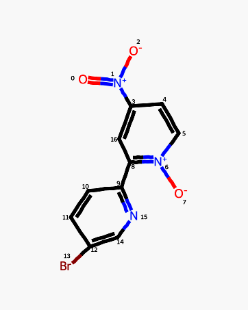 O=[N+]([O-])c1cc[n+]([O-])c(-c2ccc(Br)cn2)c1